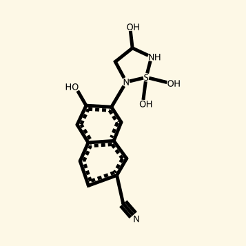 N#Cc1ccc2cc(O)c(N3CC(O)NS3(O)O)cc2c1